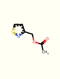 CC(=O)OCc1ccsn1